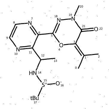 CC(C)=C1OC(c2nccnc2C(C)N[S+]([O-])C(C)(C)C)=NN(C)C1=O